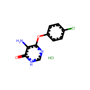 Cl.Nc1c(Oc2ccc(Cl)cc2)nc[nH]c1=O